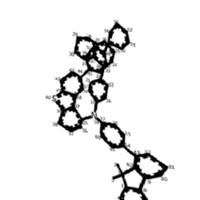 CC1(C)c2ccccc2-c2cccc(-c3ccc(N(c4ccc(-c5cccc6ccccc56)cc4)c4cccc5sc6ccc(-c7ccc(-c8ccccc8)cc7)cc6c45)cc3)c21